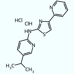 CC(C)c1ccc(Nc2nc(-c3ccccn3)cs2)nc1.Cl.Cl